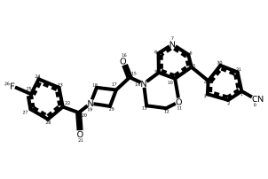 N#Cc1ccc(-c2cncc3c2OCCN3C(=O)C2CN(C(=O)c3ccc(F)cc3)C2)cc1